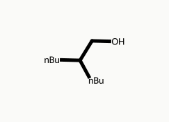 CCCC[C](CO)CCCC